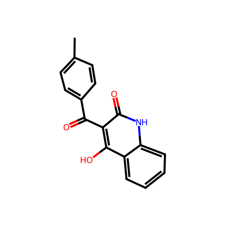 Cc1ccc(C(=O)c2c(O)c3ccccc3[nH]c2=O)cc1